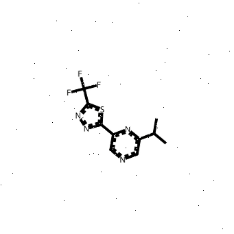 CC(C)c1cncc(-c2nnc(C(F)(F)F)s2)n1